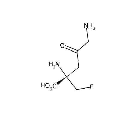 NCC(=O)C[C@@](N)(CF)C(=O)O